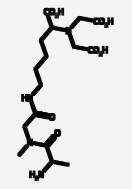 CC(N)C(=O)N(C)CC(=O)NCCCCC(C(=O)O)N(CC(=O)O)CC(=O)O